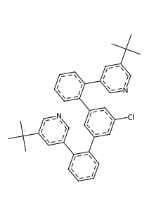 CC(C)(C)c1cncc(-c2ccccc2-c2cc(Cl)cc(-c3ccccc3-c3cncc(C(C)(C)C)c3)c2)c1